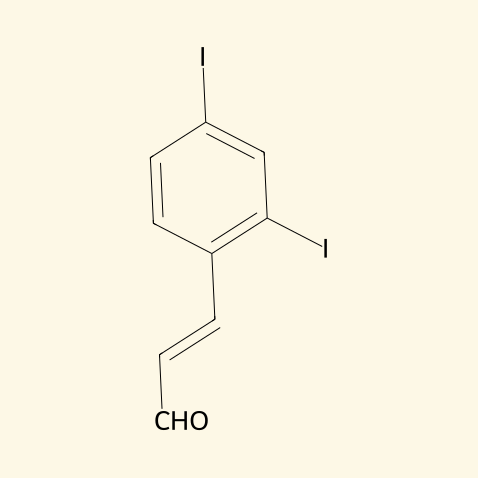 O=CC=Cc1ccc(I)cc1I